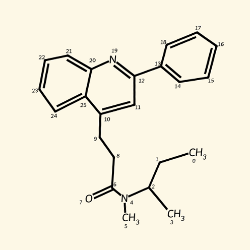 CCC(C)N(C)C(=O)CCc1cc(-c2ccccc2)nc2ccccc12